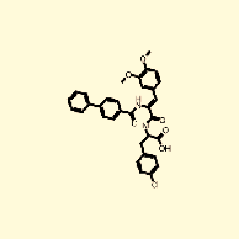 COc1ccc(/C=C(\NC(=O)c2ccc(-c3ccccc3)cc2)C(=O)NC(Cc2ccc(Cl)cc2)C(=O)O)cc1OC